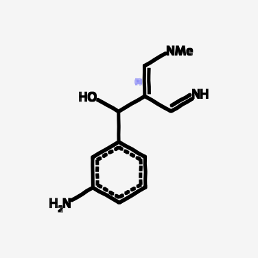 CN/C=C(\C=N)C(O)c1cccc(N)c1